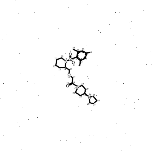 Cc1cc(C)c(S(=O)(=O)N2CCCCC2COCC(=O)N2CCC(N3CCCC3)CC2)c(C)c1